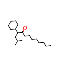 CCCCCCCCC(=O)C(CC(C)C)C1CCCCC1